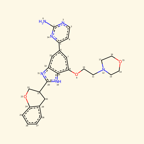 Nc1nccc(-c2cc(OCCN3CCOCC3)c3[nH]c(C4COc5ccccc5C4)nc3c2)n1